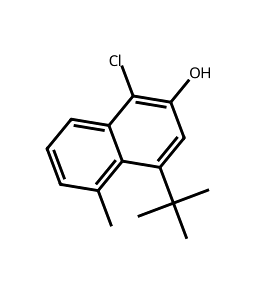 Cc1cccc2c(Cl)c(O)cc(C(C)(C)C)c12